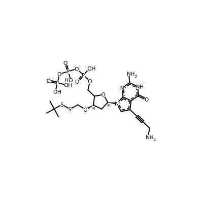 CC(C)(C)SSCO[C@@H]1C[C@H](n2cc(C#CCN)c3c(=O)[nH]c(N)nc32)OC1COP(=O)(O)OP(=O)(O)OP(=O)(O)O